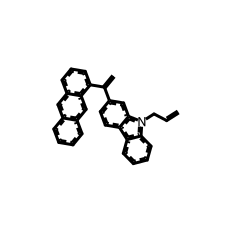 C=CCn1c2ccccc2c2ccc(C(=C)c3cccc4cc5ccccc5cc34)cc21